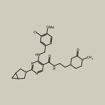 COc1ccc(CNc2nc(N3CC4CC4C3)ncc2C(=O)NCCN2CCN(C)C(=O)C2)cc1Cl